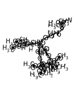 CC(=O)NCC1[C@H](OCCOCCNC(=O)CCOCC(COCCC(=O)NCCOCCO[C@@H]2O[C@H](COC(C)=O)[C@@H](OC(C)=O)[C@@H](OC(C)=O)[C@@H]2NC(C)=O)(COCCC(=O)NCCOCCO[C@H]2OC(COC(C)=O)[C@@H](OC(C)=O)[C@@H](OC(C)=O)[C@@H]2NC(C)=O)NC(=O)CCOCCOCCNC(=O)CCc2ccc3c(c2)C(C)N(C(C)C)P(OCCC#N)O3)O[C@H](COC(C)=O)[C@H](OC(C)=O)[C@@H]1OC(C)=O